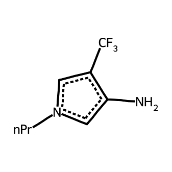 CCCn1cc(N)c(C(F)(F)F)c1